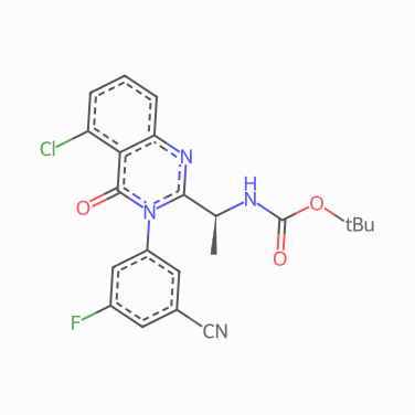 C[C@H](NC(=O)OC(C)(C)C)c1nc2cccc(Cl)c2c(=O)n1-c1cc(F)cc(C#N)c1